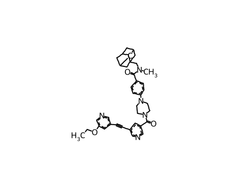 CCOc1cncc(C#Cc2cncc(C(=O)N3CCN(c4ccc(C(=O)N(C)CC56CC7CC(CC(C7)C5)C6)cc4)CC3)c2)c1